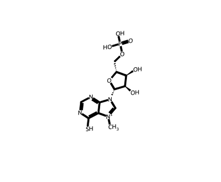 C[n+]1cn([C@@H]2O[C@H](COP(=O)(O)O)[C@@H](O)[C@H]2O)c2ncnc(S)c21